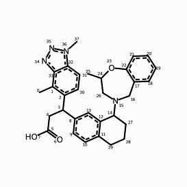 Cc1c(C(CC(=O)O)c2ccc3c(c2)C(N2Cc4ccccc4OC(C)C2)CCC3)ccc2c1nnn2C